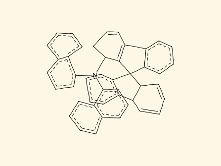 C1=CC2c3ccccc3C3(C4=C(C=CCC4N(c4cccc5ccccc45)c4cccc5ccccc45)c4ccccc43)C2C=C1